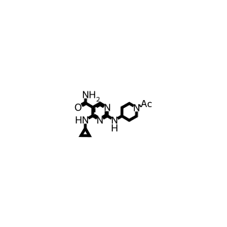 CC(=O)N1CCC(Nc2ncc(C(N)=O)c(NC3CC3)n2)CC1